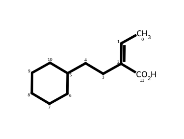 CC=C(CCC1CCCCC1)C(=O)O